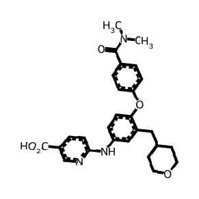 CN(C)C(=O)c1ccc(Oc2ccc(Nc3ccc(C(=O)O)cn3)cc2CC2CCOCC2)cc1